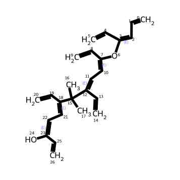 C=C/C=C(\C=C)O/C(C=C)=C/C=C(\C=C)C(C)(C)/C(C=C)=C/C=C(/O)C=C